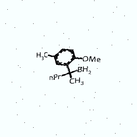 BC(C)(CCC)c1cc(C)ccc1OC